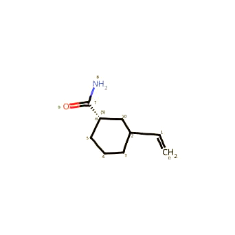 C=CC1CCC[C@H](C(N)=O)C1